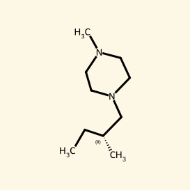 CC[C@@H](C)CN1CCN(C)CC1